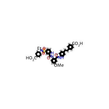 CCN(C1CCC(C(=O)O)CC1)S(=O)(=O)c1cccc(C(=O)Nc2ccc(OC)cc2C(=O)Nc2ccc(CCc3ccc(C(=O)O)cc3)cc2)c1